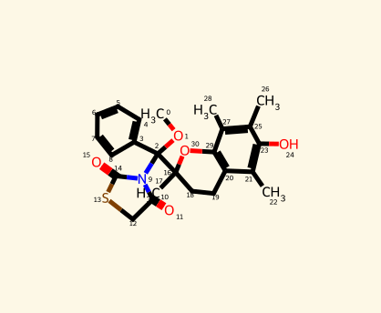 COC(c1ccccc1)(N1C(=O)CSC1=O)C1(C)CCc2c(C)c(O)c(C)c(C)c2O1